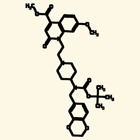 COC(=O)c1cc(=O)n(CCN2CCC(N(Cc3ccc4c(c3)OCCO4)C(=O)OC(C)(C)C)CC2)c2cc(OC)ccc12